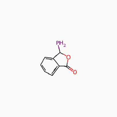 O=C1OC(P)c2ccccc21